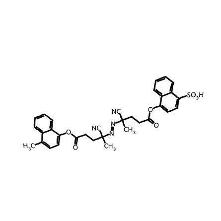 Cc1ccc(OC(=O)CCC(C)(C#N)N=NC(C)(C#N)CCC(=O)Oc2ccc(S(=O)(=O)O)c3ccccc23)c2ccccc12